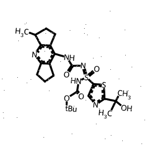 CC1CCc2c1nc1c(c2NC(=O)N=S(=O)(NC(=O)OC(C)(C)C)c2cnc(C(C)(C)O)s2)CCC1